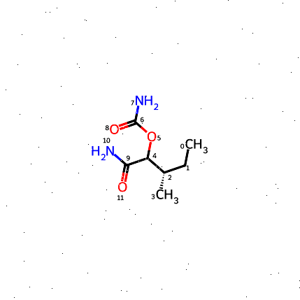 CC[C@H](C)C(OC(N)=O)C(N)=O